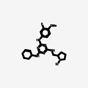 CCN1CCCC1CNc1nc(Nc2ccc(OC)c(F)c2)nc(NC2C=CCCC2)n1